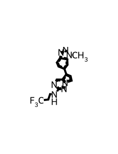 Cn1nnc2ccc(-c3ccn4nc(NCCC(F)(F)F)ncc34)cc21